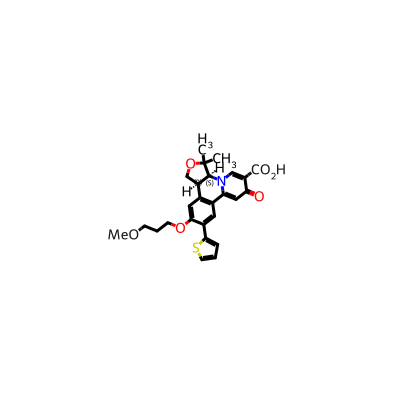 COCCCOc1cc2c(cc1-c1cccs1)-c1cc(=O)c(C(=O)O)cn1[C@H]1[C@@H]2COC1(C)C